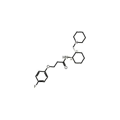 O=C(CCOc1ccc(F)cc1)N[C@@H]1CCCC[C@H]1CN1CCCCC1